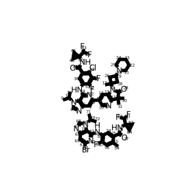 CC(C)n1cnc2cc(-c3cnc4c(c3)N(C3(C)CC(N5CCCCC5)C3)C(=O)C4(C)C)nc(Nc3cc(C(=O)NC4(C(F)F)CC4)c(Cl)c(F)c3F)c21.Cc1cc(F)c(Nc2nc(Br)cc3ncn(C(C)C)c23)cc1C(=O)NC1(C(F)F)CC1